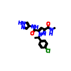 CNC(=O)c1cc(C(=O)Nc2cn[nH]c2)n(C(C)c2ccc(Cl)cc2)n1